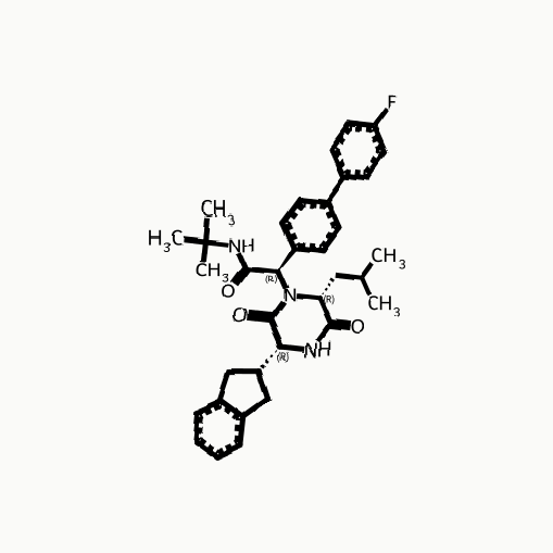 CC(C)C[C@@H]1C(=O)N[C@H](C2Cc3ccccc3C2)C(=O)N1[C@@H](C(=O)NC(C)(C)C)c1ccc(-c2ccc(F)cc2)cc1